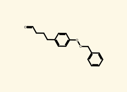 O=CCCCc1ccc(OOCc2ccccc2)cc1